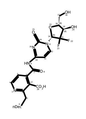 CCCCCCCCCCCc1nccc(C(=O)Nc2ccn([C@@H]3O[C@H](CO)[C@@H](O)C3(F)F)c(=O)n2)c1C(=O)O